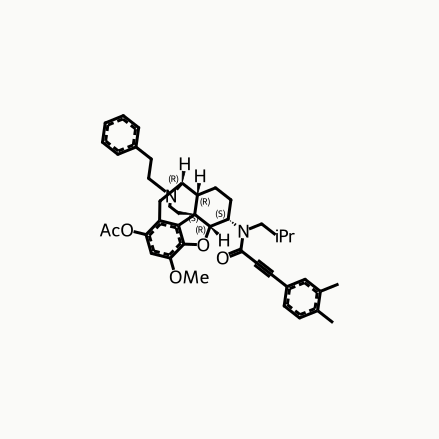 COc1cc(OC(C)=O)c2c3c1O[C@H]1[C@@H](N(CC(C)C)C(=O)C#Cc4ccc(C)c(C)c4)CC[C@H]4[C@@H](C2)N(CCc2ccccc2)CC[C@@]341